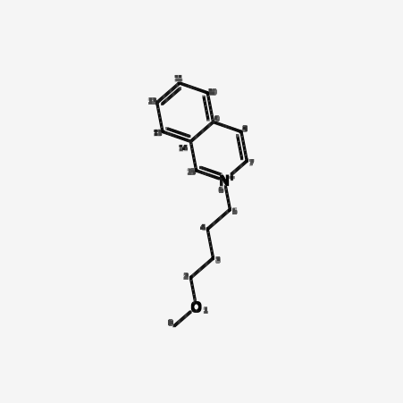 COCCCC[n+]1ccc2ccccc2c1